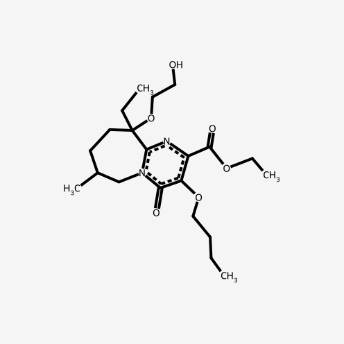 CCCCOc1c(C(=O)OCC)nc2n(c1=O)CC(C)CCC2(CC)OCCO